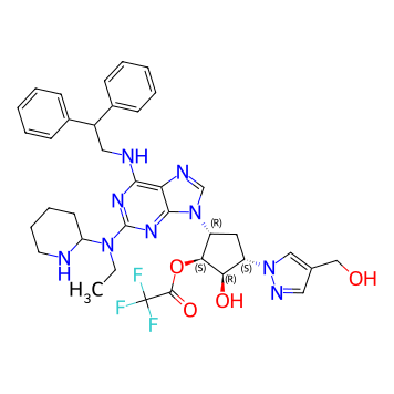 CCN(c1nc(NCC(c2ccccc2)c2ccccc2)c2ncn([C@@H]3C[C@H](n4cc(CO)cn4)[C@@H](O)[C@H]3OC(=O)C(F)(F)F)c2n1)C1CCCCN1